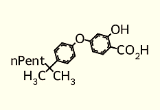 CCCCCC(C)(C)c1ccc(Oc2ccc(C(=O)O)c(O)c2)cc1